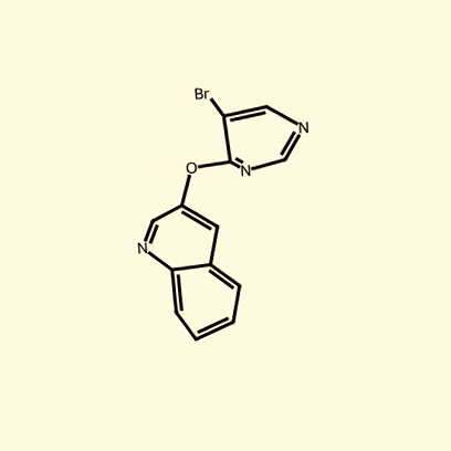 Brc1cncnc1Oc1cnc2ccccc2c1